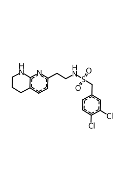 O=S(=O)(Cc1ccc(Cl)c(Cl)c1)NCCc1ccc2c(n1)NCCC2